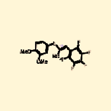 COc1ccc(S/C(=C/c2c(F)c(F)c(F)c(F)c2F)[N+](=O)[O-])cc1OC